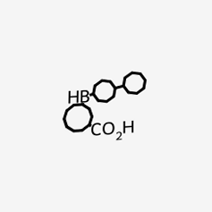 O=C(O)C1CCCCCCC(BC2CCCC(C3CCCCCCC3)CCC2)CC1